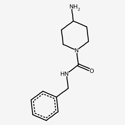 NC1CCN(C(=O)NCc2ccccc2)CC1